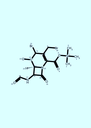 C[Si](C)(C)OC(=O)C1=C(CBr)C(Br)[S+]([O-])[C@@H]2C(NC=O)C(=O)N12